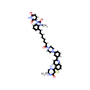 C[C@@H]1CNc2c(sc3ccc4nc(-c5cccc(N6CCN(C(=O)CCCCCCCc7cccc8c7n(C)c(=O)n8C7CCC(=O)NC7=O)CC6)c5)ccc4c23)C(=O)N1